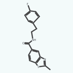 Cc1nc2cc(C(=O)NCCc3ccc(F)cc3)ccc2s1